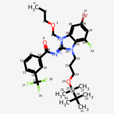 CCCOCn1/c(=N\C(=O)c2cccc(C(F)(F)F)c2)n(CCCO[Si](C)(C)C(C)(C)C)c2c(F)cc(Br)cc21